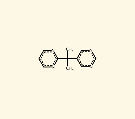 CC(C)(c1cncnc1)c1ncccn1